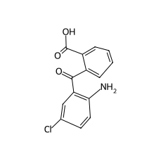 Nc1ccc(Cl)cc1C(=O)c1ccccc1C(=O)O